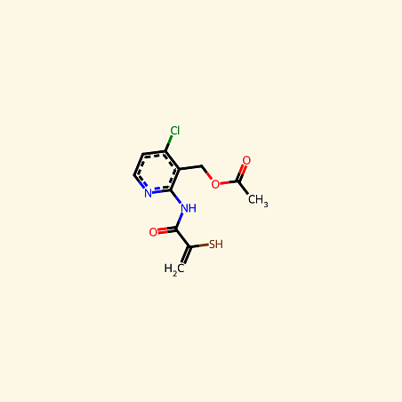 C=C(S)C(=O)Nc1nccc(Cl)c1COC(C)=O